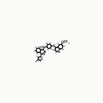 Cc1csc(-c2nnc(Nc3ccc(Sc4ccnc5ccc(OC(F)(F)F)cc45)cc3)c3ccccc23)c1